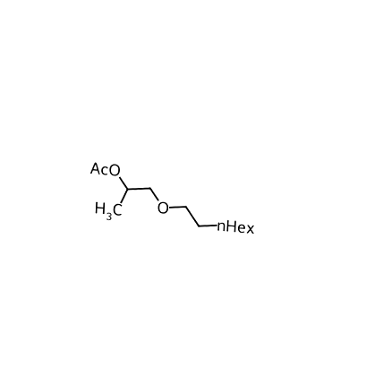 CCCCCCCCOCC(C)OC(C)=O